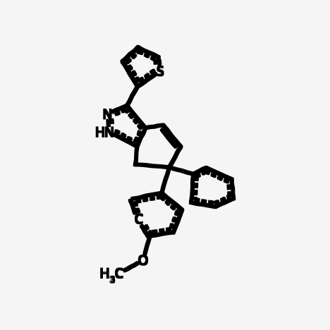 COc1ccc(C2(c3ccccc3)C=Cc3c(-c4cccs4)n[nH]c3C2)cc1